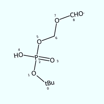 CC(C)(C)OP(=O)(O)OCO[C]=O